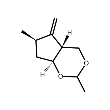 C=C1[C@H](C)C[C@@H]2OC(C)OC[C@@H]12